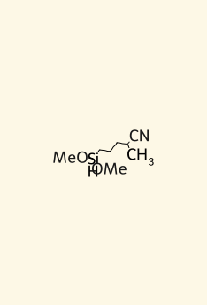 CO[SiH](CCCC(C)C#N)OC